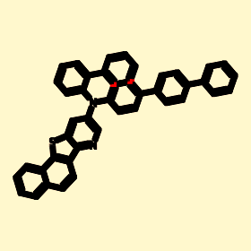 c1ccc(-c2ccc(-c3ccc(N(c4cnc5c(c4)sc4c6ccccc6ccc54)c4ccccc4-c4ccccc4)cc3)cc2)cc1